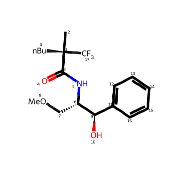 CCCC[C@](C)(C(=O)N[C@@H](COC)[C@H](O)c1ccccc1)C(F)(F)F